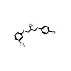 Cc1cccc(OCC(O)CSc2ccc(O)cc2)c1